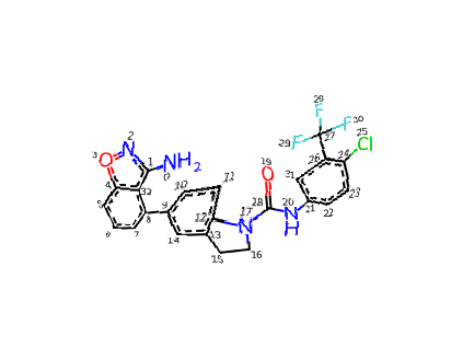 Nc1noc2cccc(-c3ccc4c(c3)CCN4C(=O)Nc3ccc(Cl)c(C(F)(F)F)c3)c12